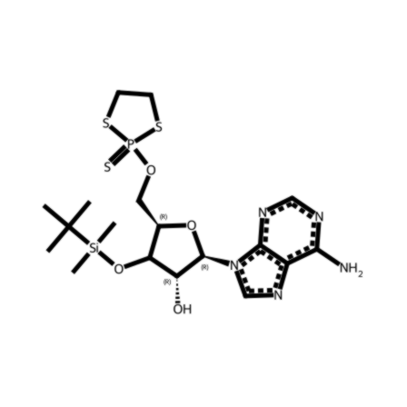 CC(C)(C)[Si](C)(C)OC1[C@@H](O)[C@H](n2cnc3c(N)ncnc32)O[C@@H]1COP1(=S)SCCS1